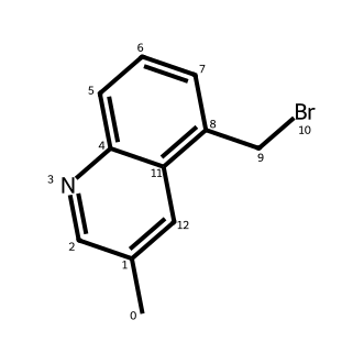 Cc1cnc2cccc(CBr)c2c1